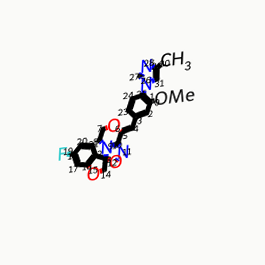 COc1cc(/C=C2\OCCN3C2=NOC32COc3cc(F)ccc32)ccc1-n1cnc(C)c1